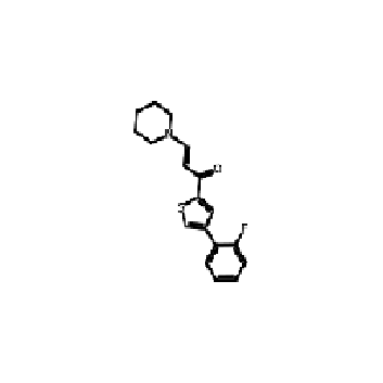 O=C(C=CN1CCCCC1)c1cc(-c2ccccc2F)cs1